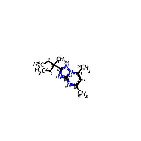 CCC(C)(CC)c1nc2nc(C)cc(C)n2n1